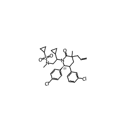 C=CCC1(C)CC(c2cccc(Cl)c2)[C@@H](c2ccc(Cl)cc2)N(C(CN(C)S(=O)(=O)C2CC2)C2CC2)C1=O